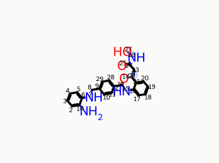 Nc1ccccc1NCc1ccc(C(=O)Nc2ccccc2/C=C/C(=O)NO)cc1